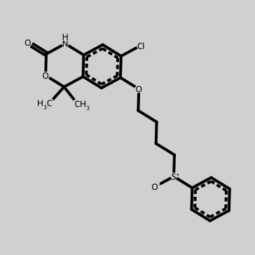 CC1(C)OC(=O)Nc2cc(Cl)c(OCCCC[S+]([O-])c3ccccc3)cc21